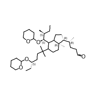 CC[C@@H](CCC(C)(C)C1CC[C@@]2(C)C(CC[C@@H]2[C@H](C)CCC=O)C1[C@@H](OC1CCCCO1)[C@@H](C)CC)OC1CCCCO1